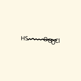 O=C(CCl)COCCOCCCCCCCCCCCS